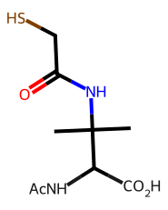 CC(=O)NC(C(=O)O)C(C)(C)NC(=O)CS